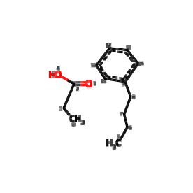 CCC(=O)O.CCCCc1ccccc1